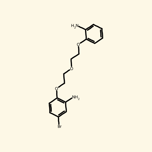 Nc1ccccc1OCCOCCOc1ccc(Br)cc1N